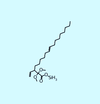 C=CC(CCCCCC=CCCCCCCCC)C(OC)(OC)C(=O)O[SiH3]